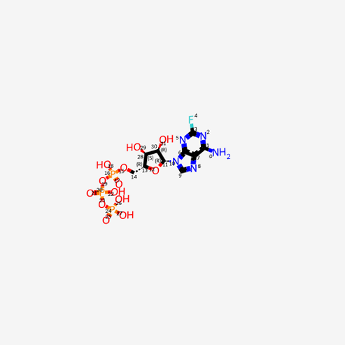 Nc1nc(F)nc2c1ncn2[C@@H]1O[C@H](COP(=O)(O)OP(=O)(O)OP(=O)(O)O)[C@@H](O)[C@H]1O